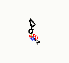 CC(C)C(=O)NS(=O)(=O)c1ccc(-c2ccccc2)cc1